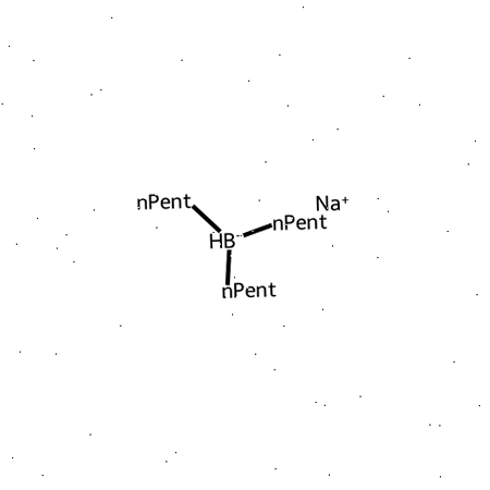 CCCCC[BH-](CCCCC)CCCCC.[Na+]